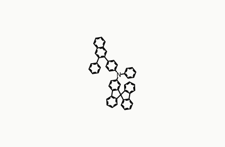 c1ccc(-c2cc3ccccc3cc2-c2ccc(N(c3ccccc3)c3ccc4c(c3)C3(c5ccccc5-c5ccccc53)c3ccccc3-4)cc2)cc1